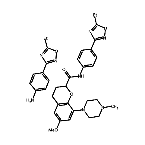 CCc1nc(-c2ccc(N)cc2)no1.CCc1nc(-c2ccc(NC(=O)C3CCc4cc(OC)cc(N5CCN(C)CC5)c4O3)cc2)no1